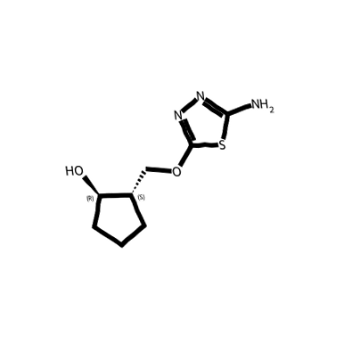 Nc1nnc(OC[C@@H]2CCC[C@H]2O)s1